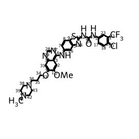 COc1cc2c(Nc3ccc4sc(NC(=O)Nc5ccc(Cl)c(C(F)(F)F)c5)nc4c3)ncnc2cc1OCCCN1CCN(C)CC1